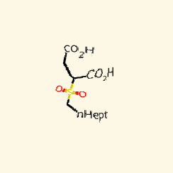 CCCCCCCCS(=O)(=O)C(CC(=O)O)C(=O)O